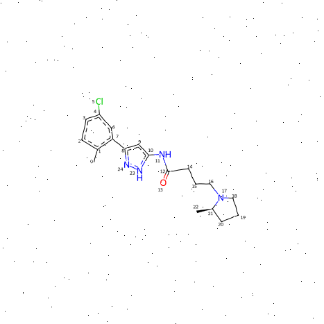 Cc1ccc(Cl)cc1-c1cc(NC(=O)CCCN2CCC[C@H]2C)[nH]n1